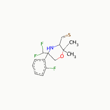 CC1(C)OCC(c2ccccc2F)(C(F)F)NC1C=S